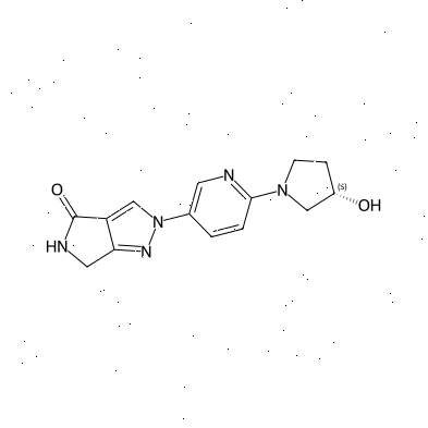 O=C1NCc2nn(-c3ccc(N4CC[C@H](O)C4)nc3)cc21